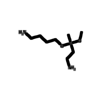 CO[Si](C)(CCN)OCCCCN